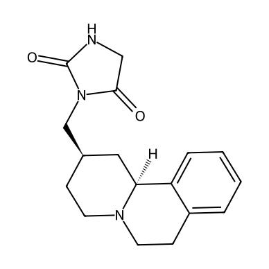 O=C1CNC(=O)N1C[C@@H]1CCN2CCc3ccccc3[C@@H]2C1